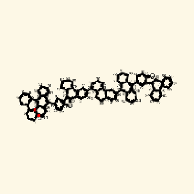 c1ccc(-c2ccccc2-c2c3ccccc3c(-c3ccc4oc5c6ccc(-c7cccc8c7ccc7ccc(-c9c%10ccccc%10c(-c%10ccc%11oc%12c%13ccccc%13c%13ccccc%13c%12c%11c%10)c%10ccccc9%10)cc78)cc6c6ccccc6c5c4c3)c3ccccc23)cc1